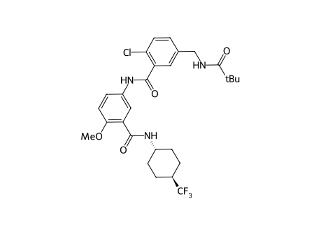 COc1ccc(NC(=O)c2cc(CNC(=O)C(C)(C)C)ccc2Cl)cc1C(=O)N[C@H]1CC[C@H](C(F)(F)F)CC1